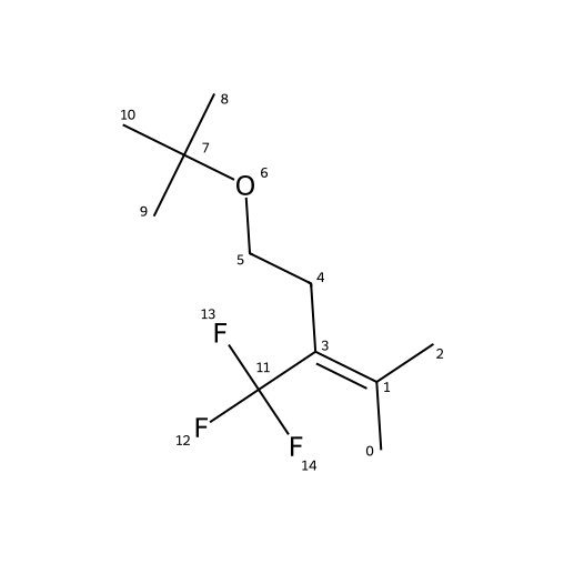 CC(C)=C(CCOC(C)(C)C)C(F)(F)F